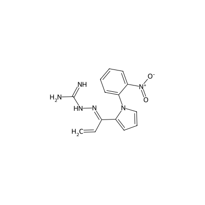 C=CC(=NNC(=N)N)c1cccn1-c1ccccc1[N+](=O)[O-]